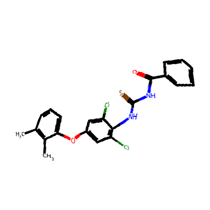 Cc1cccc(Oc2cc(Cl)c(NC(=S)NC(=O)c3ccccc3)c(Cl)c2)c1C